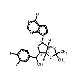 CC1(C)O[C@@H]2[C@H](O1)[C@@H](C(O)c1ccc(F)c(F)c1)O[C@H]2n1ccc2c(Cl)ncnc21